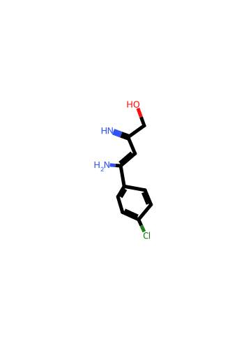 N=C(/C=C(\N)c1ccc(Cl)cc1)CO